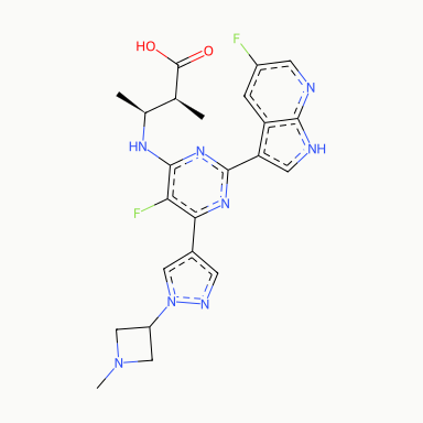 C[C@H](Nc1nc(-c2c[nH]c3ncc(F)cc23)nc(-c2cnn(C3CN(C)C3)c2)c1F)[C@H](C)C(=O)O